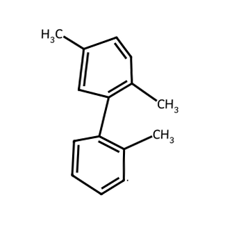 Cc1ccc(C)c(-c2ccc[c]c2C)c1